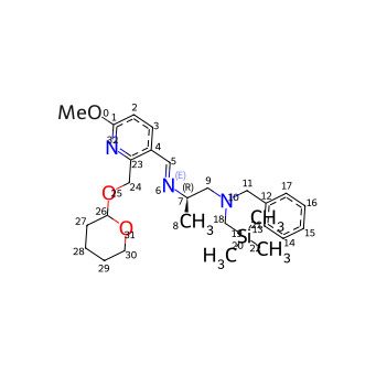 COc1ccc(/C=N/[C@H](C)CN(Cc2ccccc2)C[Si](C)(C)C)c(COC2CCCCO2)n1